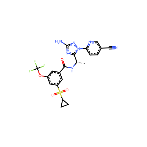 C[C@H](NC(=O)c1cc(OC(F)(F)F)cc(S(=O)(=O)C2CC2)c1)c1nc(N)nn1-c1ccc(C#N)cn1